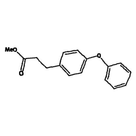 COC(=O)CCc1ccc(Oc2ccccc2)cc1